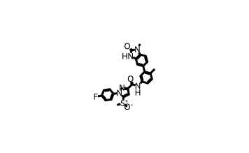 Cc1ccc(NC(=O)c2cc([S+](C)[O-])n(-c3ccc(F)cc3)n2)cc1-c1ccc2c(c1)[nH]c(=O)n2C